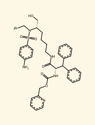 CC(C)CN([C@H](CO)CCCCNC(=O)[C@@H](NC(=O)OCc1ccccn1)C(c1ccccc1)c1ccccc1)S(=O)(=O)c1ccc(N)cc1